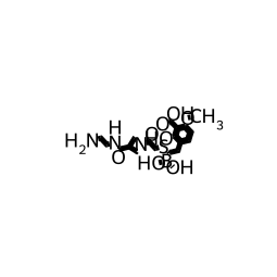 COc1ccc(CC(SCC(=O)N2CC(C(=O)NCCN)C2)B(O)O)c(O)c1C(=O)O